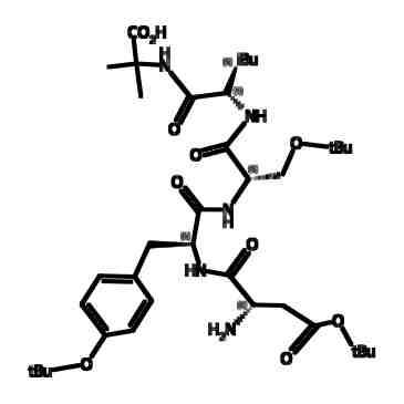 CC[C@H](C)[C@H](NC(=O)[C@H](COC(C)(C)C)NC(=O)[C@H](Cc1ccc(OC(C)(C)C)cc1)NC(=O)[C@@H](N)CC(=O)OC(C)(C)C)C(=O)NC(C)(C)C(=O)O